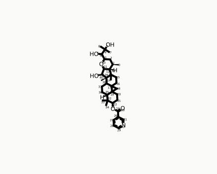 C[C@@H]1CC(C(O)C(C)(C)O)OC2[C@H]1C1(C)CCC34CC35CCC(OC(=O)c3cccnc3)C(C)(C)[C@@H]5CCC4[C@]1(C)[C@H]2O